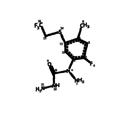 Cc1cc(F)c(N(N)C(=O)NN)cc1SCC(F)(F)F